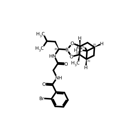 CC(C)C[C@H](NC(=O)CNC(=O)c1ccccc1Br)B1O[C@@H]2C[C@@H]3C[C@@H](C3(C)C)[C@]2(C)O1